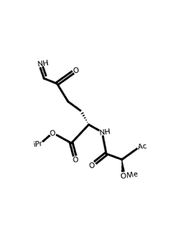 CO[C@H](C(C)=O)C(=O)N[C@@H](CCC(=O)C=N)C(=O)OC(C)C